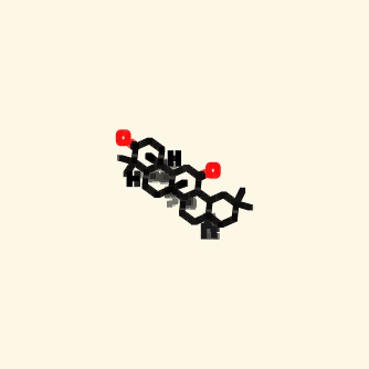 CC[C@]12CCC(C)(C)CC1C1C(=O)C[C@@H]3[C@@]4(C)CCC(=O)C(C)(C)[C@@H]4CC[C@@]3(C)[C@]1(C)CC2